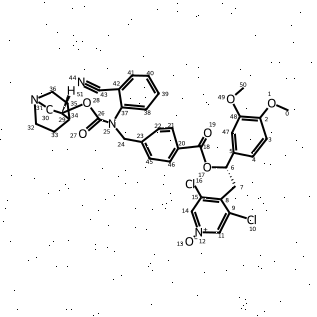 COc1ccc([C@H](Cc2c(Cl)c[n+]([O-])cc2Cl)OC(=O)c2ccc(CN(C(=O)O[C@H]3CN4CCC3CC4)c3ccccc3C#N)cc2)cc1OC